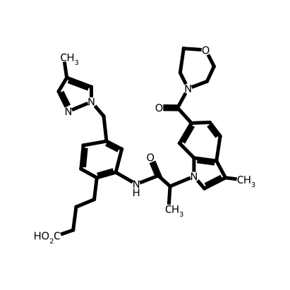 Cc1cnn(Cc2ccc(CCCC(=O)O)c(NC(=O)C(C)n3cc(C)c4ccc(C(=O)N5CCOCC5)cc43)c2)c1